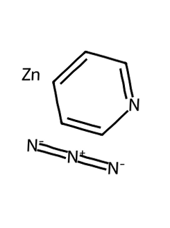 [N-]=[N+]=[N-].[Zn].c1ccncc1